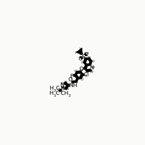 CC(C)(C)n1cc(NC(=O)Cc2cc(Cl)c(Oc3ccnc4ccc(S(=O)(=O)C5CC5)cc34)cc2F)cn1